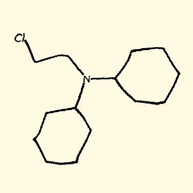 ClCCN(C1CCCCC1)C1CCCCC1